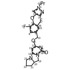 CC(C)n1cc(Oc2c(F)cc(COc3cc4n(c(=O)n3)CC3CCCN43)cc2F)cn1